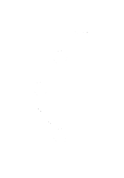 Cc1ccc(N2CCN(Cc3ccc(COc4ccc(CCC(=O)O)cc4)cc3)CC2)cc1